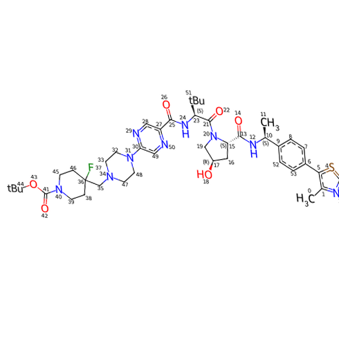 Cc1ncsc1-c1ccc([C@H](C)NC(=O)[C@@H]2C[C@@H](O)CN2C(=O)[C@@H](NC(=O)c2cnc(N3CCN(CC4(F)CCN(C(=O)OC(C)(C)C)CC4)CC3)cn2)C(C)(C)C)cc1